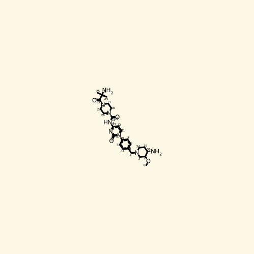 COC1CN(Cc2ccc(-n3ccc(NC(=O)N4CCN(C(=O)C(C)(C)N)CC4)nc3=O)cc2)CC[C@@H]1N